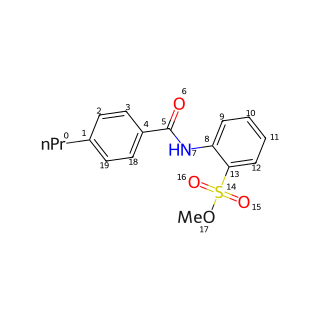 CCCc1ccc(C(=O)Nc2ccccc2S(=O)(=O)OC)cc1